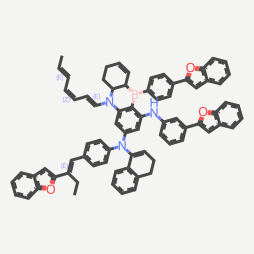 C/C=C/C=C\C=C\N1c2cc(N(C3=CCCc4ccccc43)c3ccc(/C=C(\CC)c4cc5ccccc5o4)cc3)cc(Nc3cccc(-c4cc5ccccc5o4)c3)c2B(c2ccc(-c3cc4ccccc4o3)cc2)C2C=CCCC21